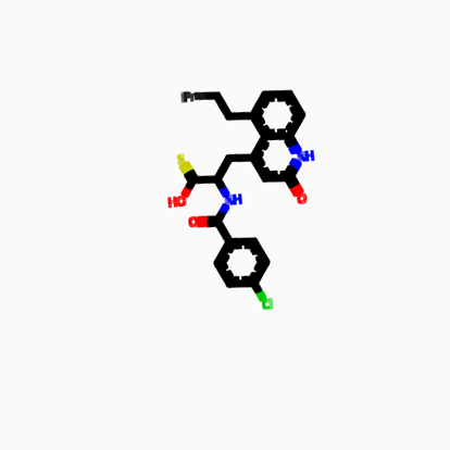 CC(C)CCc1cccc2[nH]c(=O)cc(CC(NC(=O)c3ccc(Cl)cc3)C(O)=S)c12